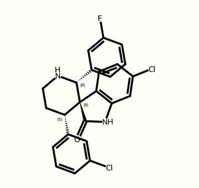 O=C1Nc2cc(Cl)ccc2[C@]12[C@@H](c1cccc(F)c1)NCC[C@H]2c1cccc(Cl)c1